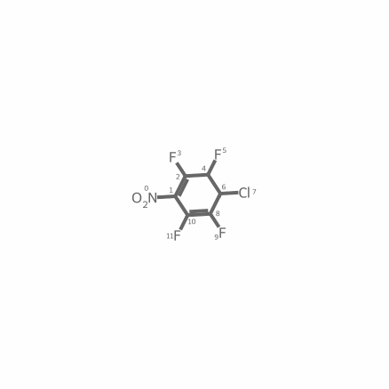 O=[N+]([O-])C1=C(F)C(F)[C](Cl)C(F)=C1F